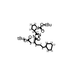 CC(C)(C)OC(=O)C[C@@H](CCCC1CCCCC1)c1nc(C2CCCN2C(=O)OC(C)(C)C)no1